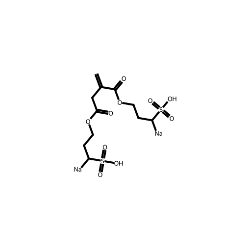 C=C(CC(=O)OCC[CH]([Na])S(=O)(=O)O)C(=O)OCC[CH]([Na])S(=O)(=O)O